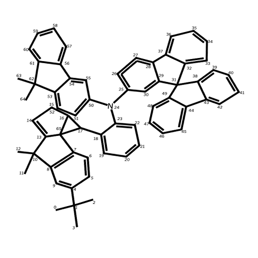 CC(C)(C)c1ccc2c(c1)C(C)(C)C1=CCC3C(c4ccccc4N(C4=C=C=C5C(=C4)C4(c6ccccc65)c5ccccc5-c5ccccc54)c4ccc5c(c4)-c4ccccc4C5(C)C)C123